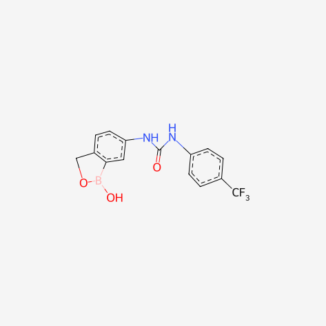 O=C(Nc1ccc(C(F)(F)F)cc1)Nc1ccc2c(c1)B(O)OC2